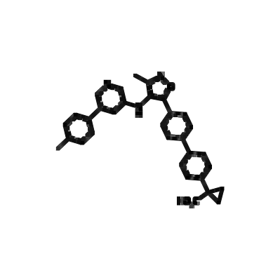 Cc1ccc(-c2cncc(Nc3c(C)noc3-c3ccc(-c4ccc(C5(C(=O)O)CC5)cc4)cc3)c2)cc1